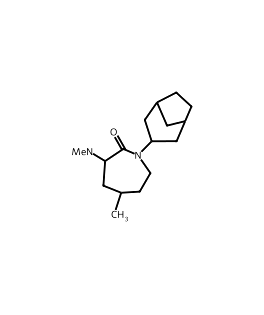 CNC1CC(C)CCN(C2CC3CCC(C3)C2)C1=O